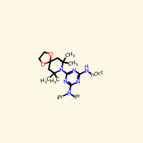 CCCCCCCCNc1nc(N(C(C)C)C(C)C)nc(N2C(C)(C)CC3(CC2(C)C)OCCO3)n1